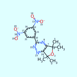 CC1(C)OC(C)(C)c2nc(-c3cc([N+](=O)[O-])cc([N+](=O)[O-])c3)nnc21